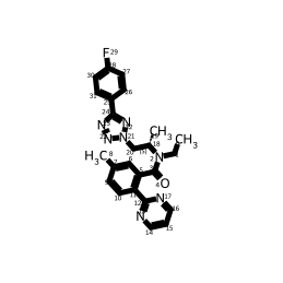 CCN(C(=O)c1cc(C)ccc1-c1ncccn1)[C@@H](C)Cn1nnc(-c2ccc(F)cc2)n1